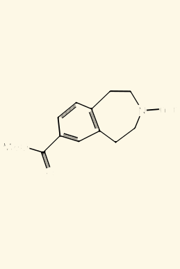 CCCN1CCc2ccc(C(=O)OC)cc2CC1